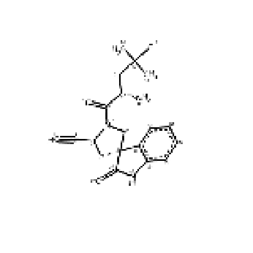 C#C[C@@H]1C[C@@]2(CN1C(=O)[C@@H](N)CC(C)(C)F)C(=O)Nc1ccccc12